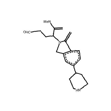 C=C(NC)C(CCC=O)N1Cc2cc(C3CCNCC3)ccc2C1=C